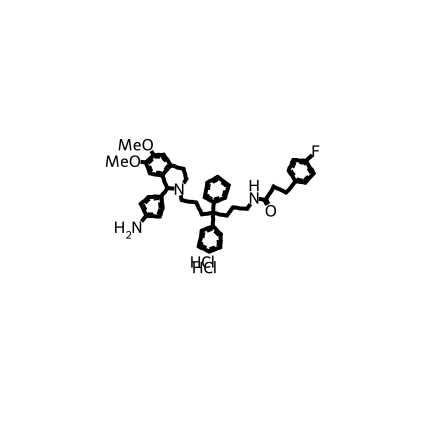 COc1cc2c(cc1OC)C(c1ccc(N)cc1)N(CCCC(CCCNC(=O)CCc1ccc(F)cc1)(c1ccccc1)c1ccccc1)CC2.Cl.Cl